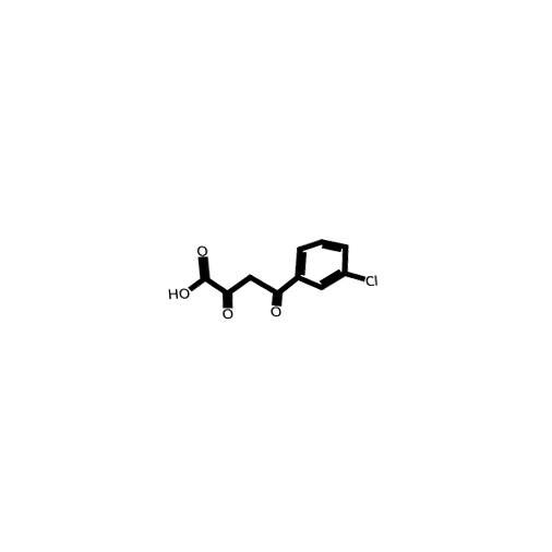 O=C(O)C(=O)CC(=O)c1cccc(Cl)c1